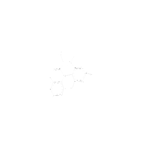 CCNc1nc(C(=O)O)nc(C)c1N(C(=O)OC(C)(C)C)c1ccccc1Cl